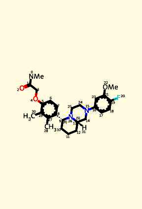 CNC(=O)COc1ccc([C@H]2CCC[C@H]3CN(c4ccc(F)c(OC)c4)CCN32)c(C)c1C